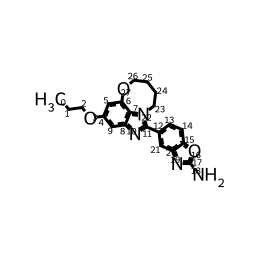 CCCOc1cc2c3c(c1)nc(-c1ccc4oc(N)nc4c1)n3CCCCO2